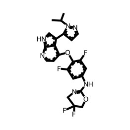 CC(C)n1nccc1-c1c[nH]c2nccc(Oc3c(F)cc(NC4=NCC(F)(F)CO4)cc3F)c12